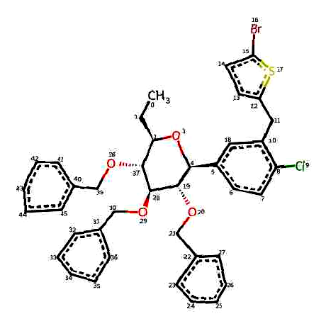 CC[C@H]1O[C@@H](c2ccc(Cl)c(Cc3ccc(Br)s3)c2)[C@H](OCc2ccccc2)[C@@H](OCc2ccccc2)[C@@H]1OCc1ccccc1